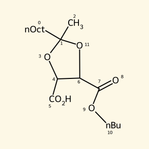 CCCCCCCCC1(C)OC(C(=O)O)C(C(=O)OCCCC)O1